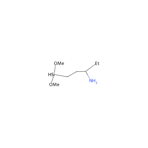 CCC(N)CC[SiH](OC)OC